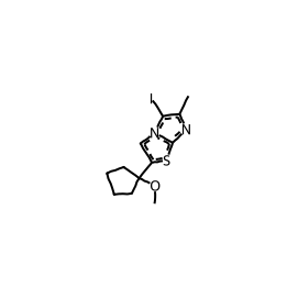 COC1(c2cn3c(I)c(C)nc3s2)CCCC1